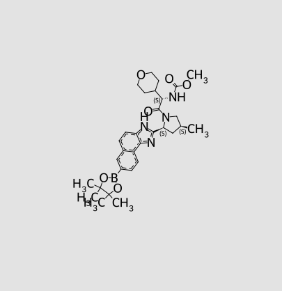 COC(=O)N[C@H](C(=O)N1C[C@@H](C)C[C@H]1c1nc2c(ccc3cc(B4OC(C)(C)C(C)(C)O4)ccc32)[nH]1)C1CCOCC1